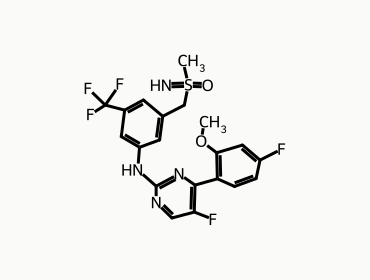 COc1cc(F)ccc1-c1nc(Nc2cc(CS(C)(=N)=O)cc(C(F)(F)F)c2)ncc1F